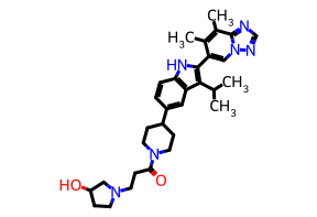 Cc1c(-c2[nH]c3ccc(C4CCN(C(=O)CCN5CCC(O)C5)CC4)cc3c2C(C)C)cn2ncnc2c1C